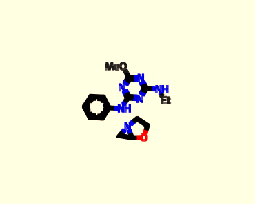 C1CN2CC2O1.CCNc1nc(Nc2ccccc2)nc(OC)n1